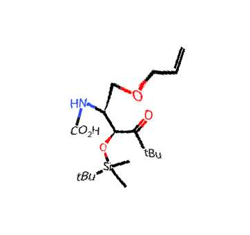 C=CCOC[C@H](NC(=O)O)[C@H](O[Si](C)(C)C(C)(C)C)C(=O)C(C)(C)C